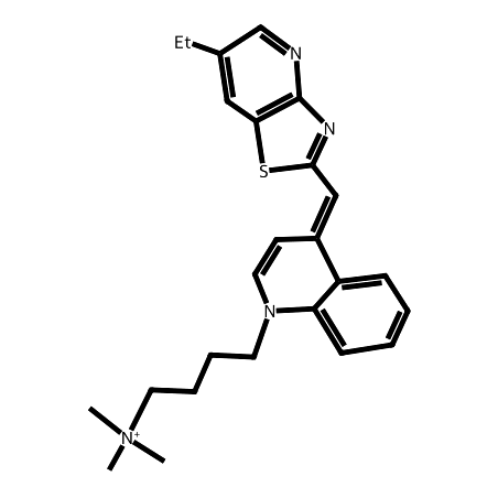 CCc1cnc2nc(C=C3C=CN(CCCC[N+](C)(C)C)c4ccccc43)sc2c1